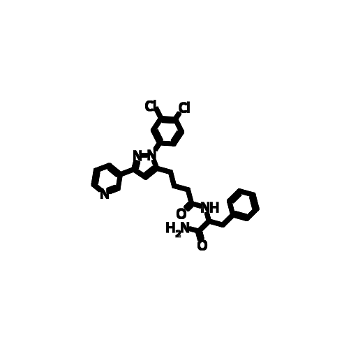 NC(=O)C(Cc1ccccc1)NC(=O)CCCc1cc(-c2cccnc2)nn1-c1ccc(Cl)c(Cl)c1